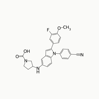 COc1ccc(-c2cc3cc(NC4CCN(C(=O)O)C4)ccc3n2-c2ccc(C#N)cc2)cc1F